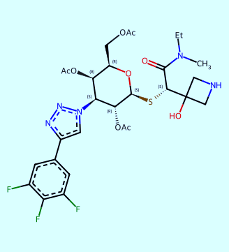 CCN(C)C(=O)[C@@H](S[C@@H]1O[C@H](COC(C)=O)[C@H](OC(C)=O)[C@H](n2cc(-c3cc(F)c(F)c(F)c3)nn2)[C@H]1OC(C)=O)C1(O)CNC1